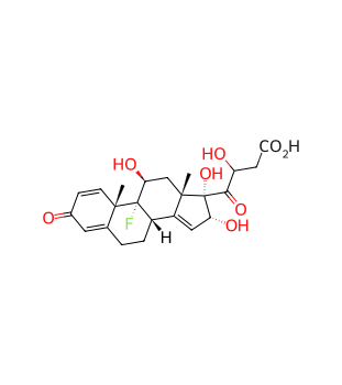 C[C@]12C=CC(=O)C=C1CC[C@H]1C3=C[C@@H](O)[C@](O)(C(=O)C(O)CC(=O)O)[C@@]3(C)C[C@H](O)[C@@]12F